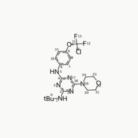 CC(C)(C)Nc1nc(Nc2ccc(OC(F)(F)Cl)cc2)nc(N2CCOCC2)n1